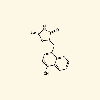 O=C1NC(=S)SC1Cc1ccc(O)c2ccccc12